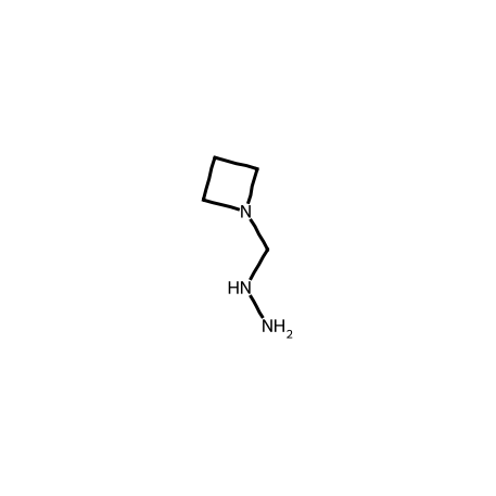 NNCN1CCC1